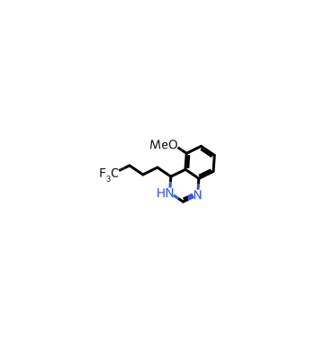 COc1cccc2c1C(CCCC(F)(F)F)NC=N2